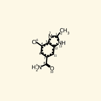 Cc1nc2c(Cl)cc(C(N)=O)cc2[nH]1